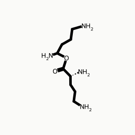 NCCCC(N)OC(=O)[C@H](N)CCCN